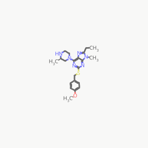 CCc1nc2c(N3CCN[C@H](C)C3)nc(SCc3ccc(OC)cc3)nc2n1C